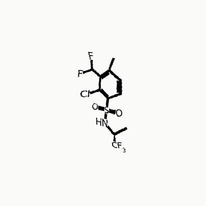 Cc1ccc(S(=O)(=O)N[C@@H](C)C(F)(F)F)c(Cl)c1C(F)F